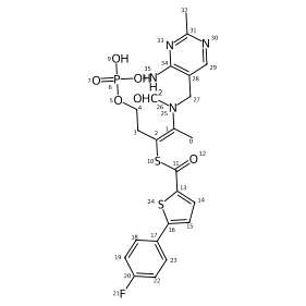 CC(=C(CCOP(=O)(O)O)SC(=O)c1ccc(-c2ccc(F)cc2)s1)N(C=O)Cc1cnc(C)nc1N